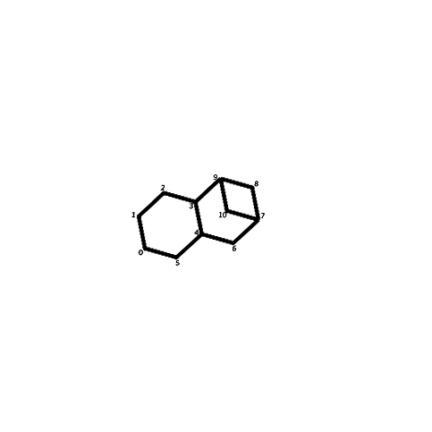 C1CCC2C(C1)CC1CC2C1